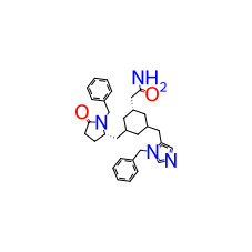 NC(=O)C[C@@H]1CC(Cc2cncn2Cc2ccccc2)CC(C[C@@H]2CCC(=O)N2Cc2ccccc2)C1